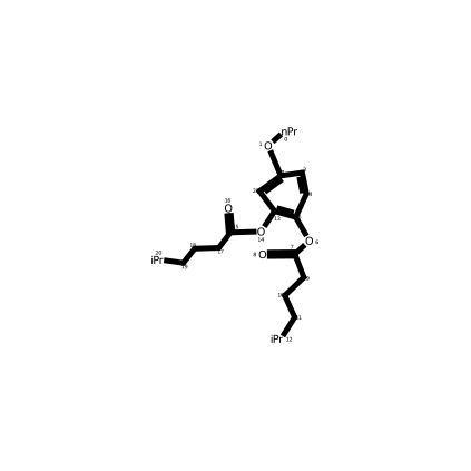 CCCOc1ccc(OC(=O)CCCC(C)C)c(OC(=O)CCCC(C)C)c1